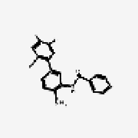 Nc1ccc(-c2cc(F)c(F)cc2F)cc1NC(=O)c1ccccc1